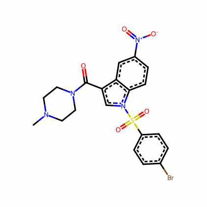 CN1CCN(C(=O)c2cn(S(=O)(=O)c3ccc(Br)cc3)c3ccc([N+](=O)[O-])cc23)CC1